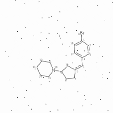 Brc1ccc(C=C2CCC(N3CCCCC3)C2)cc1